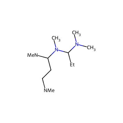 CCC(N(C)C)N(C)C(CCNC)NC